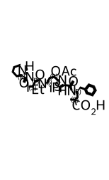 CC[C@H](I)[C@H](NC(=O)[C@H]1CCCCN1C)C(=O)N(C)[C@H](C[C@@H](OC(C)=O)c1nc(C(=O)N[C@@H](Cc2ccccc2)C[C@H](C)C(=O)O)cs1)C(C)C